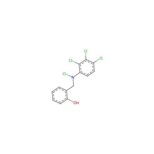 Oc1ccccc1CN(Cl)c1ccc(Cl)c(Cl)c1Cl